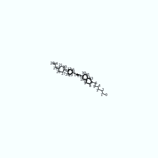 CCCCCCCc1ccc2cc(C#Cc3ccc([C@H]4CC[C@H](CCC)CC4)cc3)ccc2c1